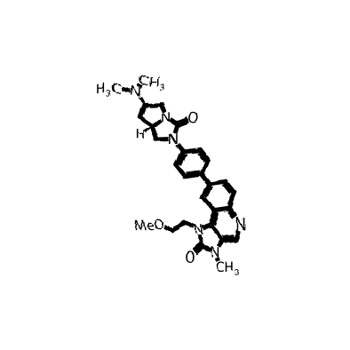 COCCn1c(=O)n(C)c2cnc3ccc(-c4ccc(N5C[C@@H]6C[C@@H](N(C)C)CN6C5=O)cc4)cc3c21